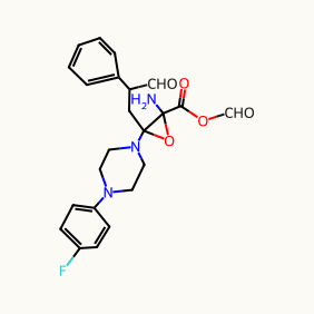 NC1(C(=O)OC=O)OC1(CC(C=O)c1ccccc1)N1CCN(c2ccc(F)cc2)CC1